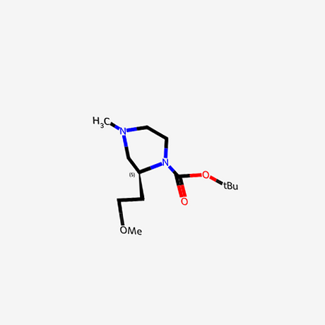 COCC[C@H]1CN(C)CCN1C(=O)OC(C)(C)C